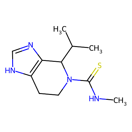 CNC(=S)N1CCc2[nH]cnc2C1C(C)C